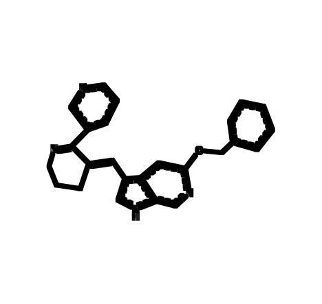 C(=C1/CCCN=C1c1cccnc1)/c1c[nH]c2cnc(OCc3ccccc3)cc12